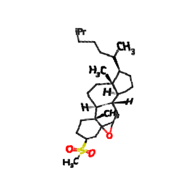 CC(C)CCCC(C)[C@H]1CC[C@H]2[C@@H]3CC4OC45C[C@@H](S(C)(=O)=O)CC[C@]5(C)[C@H]3CC[C@]12C